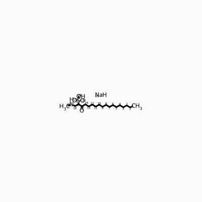 CCCCCCCCCCCCCCCC(=O)C(CNC)S(=O)(=O)O.[NaH]